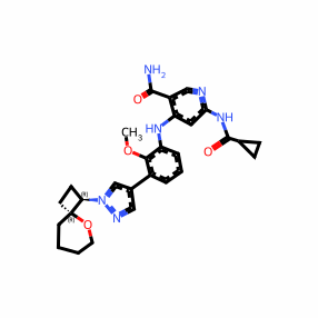 COc1c(Nc2cc(NC(=O)C3CC3)ncc2C(N)=O)cccc1-c1cnn([C@@H]2CC[C@]23CCCCO3)c1